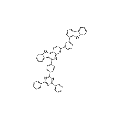 c1ccc(-c2nc(-c3ccccc3)nc(-c3ccc(-c4nc5cc(-c6cccc(-c7cccc8c7oc7ccccc78)c6)ccc5c5oc6ccccc6c45)cc3)n2)cc1